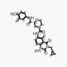 CC(C)n1c(=O)n(CC2CC2)c(=O)c2c(F)c(NC(=O)N3CCO[C@@H](C(=O)Nc4ccc(C#N)c(F)c4)C3)ccc21